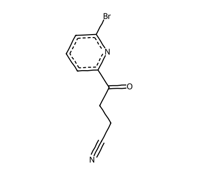 N#CCCC(=O)c1cccc(Br)n1